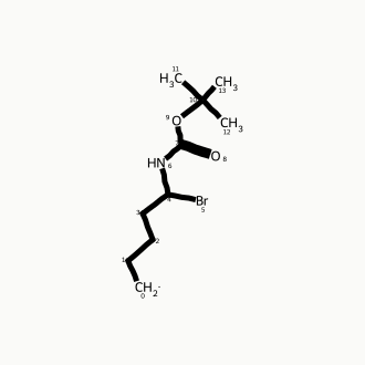 [CH2]CCCC(Br)NC(=O)OC(C)(C)C